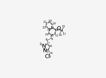 Cn1nc(CCl)cc1CCc1cc(OC(C)(C)C)c2ccccc2c1